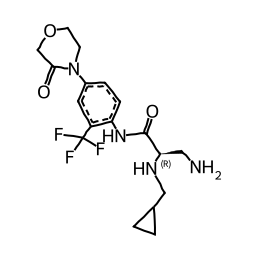 NC[C@@H](NCC1CC1)C(=O)Nc1ccc(N2CCOCC2=O)cc1C(F)(F)F